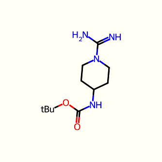 CC(C)(C)OC(=O)NC1CCN(C(=N)N)CC1